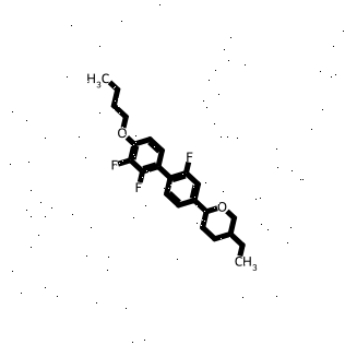 CCCCOc1ccc(-c2ccc(C3CCC(CC)CO3)cc2F)c(F)c1F